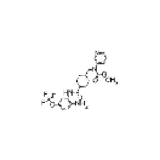 COC(=O)N(CC1CCC(C(=O)Nc2cc(OC(F)(F)F)ccc2N)CC1)c1cccnc1